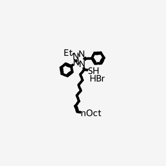 Br.CCCCCCCC/C=C\CCCCCCC(S)N1C(c2ccccc2)=NN(CC)N1c1ccccc1